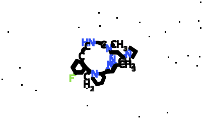 C=C(/C=C1/N(C)CCNCCCc2ccc(F)cc2C(=C)N2CCCCC2c2cc(C)n1n2)N1CCC1